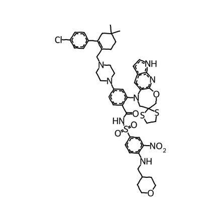 CC1(C)CCC(CN2CCN(c3ccc(C(=O)NS(=O)(=O)c4ccc(NCC5CCOCC5)c([N+](=O)[O-])c4)c(N4CC5(COc6nc7[nH]ccc7cc64)SCCS5)c3)CC2)=C(c2ccc(Cl)cc2)C1